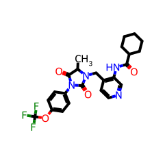 CC1C(=O)N(c2ccc(OC(F)(F)F)cc2)C(=O)N1Cc1ccncc1NC(=O)C1CCCCC1